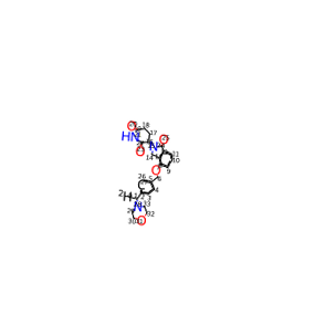 [2H]C(c1ccc(COc2cccc3c2CN(C2CCC(=O)NC2=O)C3=O)cc1)N1CCOCC1